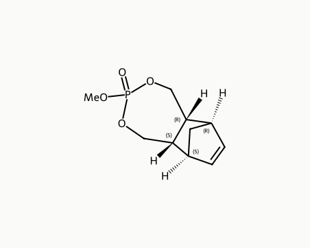 COP1(=O)OC[C@@H]2[C@H](CO1)[C@H]1C=C[C@@H]2C1